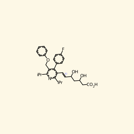 CC(C)c1nc(C(C)C)c(COc2ccccc2)c(-c2ccc(F)cc2)c1/C=C/C(O)CC(O)CC(=O)O